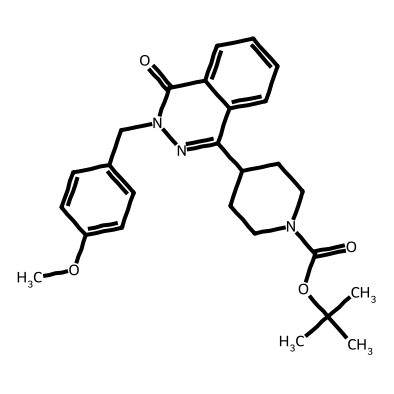 COc1ccc(Cn2nc(C3CCN(C(=O)OC(C)(C)C)CC3)c3ccccc3c2=O)cc1